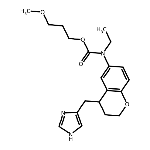 CCN(C(=O)OCCCOC)c1ccc2c(c1)C(Cc1c[nH]cn1)CCO2